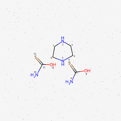 C1CNCCN1.NC(O)=S.NC(O)=S